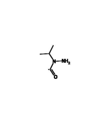 CC(C)N(N)[C]=O